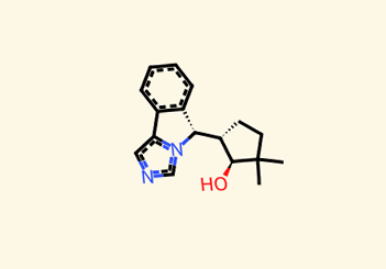 CC1(C)CC[C@@H]([C@H]2c3ccccc3-c3cncn32)[C@@H]1O